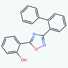 Oc1ccccc1-c1nc(-c2ccccc2-c2ccccc2)no1